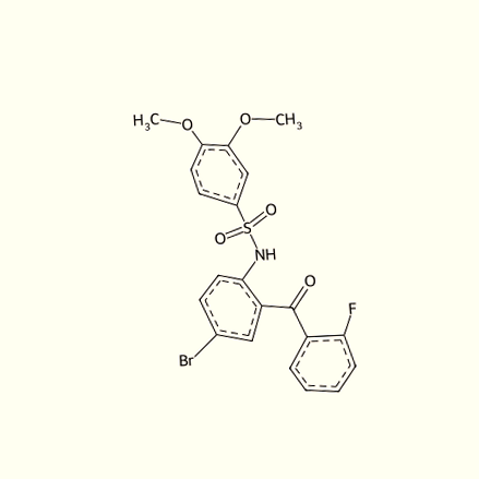 COc1ccc(S(=O)(=O)Nc2ccc(Br)cc2C(=O)c2ccccc2F)cc1OC